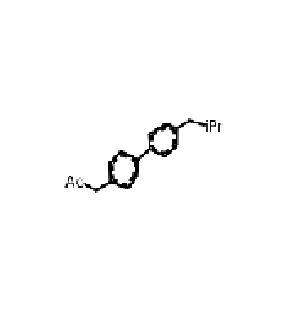 CC(=O)Cc1ccc(-c2ccc(CC(C)C)cc2)cc1